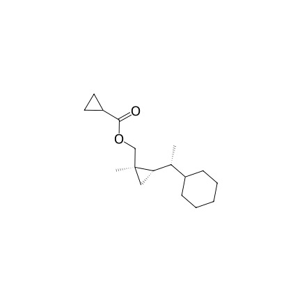 C[C@H](C1CCCCC1)[C@@H]1C[C@@]1(C)COC(=O)C1CC1